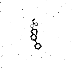 C=CC(=O)Oc1ccc2cc(-c3ccccc3)ccc2c1